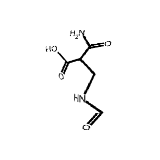 NC(=O)C(CNC=O)C(=O)O